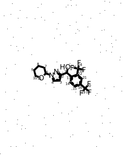 OC(c1ccn(C2CCCCO2)n1)c1ccc(C(F)(F)F)cc1C(F)(F)F